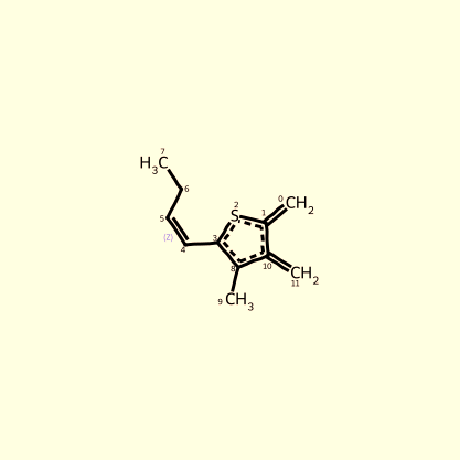 C=c1sc(/C=C\CC)c(C)c1=C